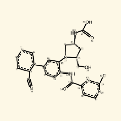 N#Cc1ccncc1-c1ccc(NC(=O)c2ccnc(Cl)n2)c(N2C[C@@H](NC(=O)O)C[C@H]2CO)c1